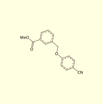 COC(=O)c1cccc(COc2ccc(C#N)cc2)c1